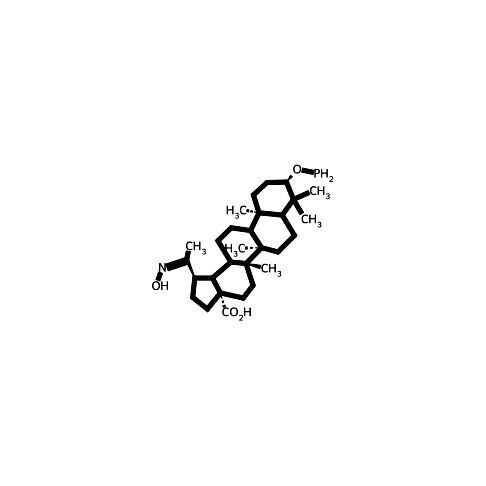 C/C(=N/O)[C@@H]1CC[C@]2(C(=O)O)CC[C@]3(C)C(CCC4[C@@]5(C)CC[C@H](OP)C(C)(C)C5CC[C@]43C)C12